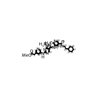 COC(=O)Cc1cncc(Nc2ncc3c(Nc4cc(C(=O)NCCC5CCCCC5)cnc4C)nn(C)c3n2)c1